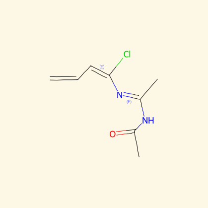 C=C/C=C(Cl)\N=C(/C)NC(C)=O